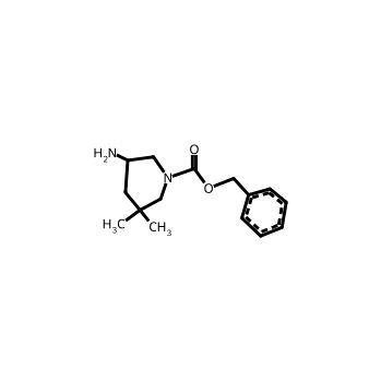 CC1(C)CC(N)CN(C(=O)OCc2ccccc2)C1